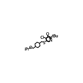 CC(C)OCC1CCC(CSc2cnn(C(C)(C)C)c(=O)c2Cl)CC1